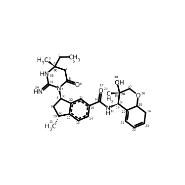 CC[C@]1(C)CC(=O)N([C@@H]2C[C@@H](C)c3ccc(C(=O)N[C@@H]4C5=CC=CCC5OC[C@@]4(C)O)cc32)C(=N)N1